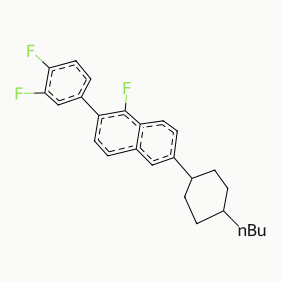 CCCCC1CCC(c2ccc3c(F)c(-c4ccc(F)c(F)c4)ccc3c2)CC1